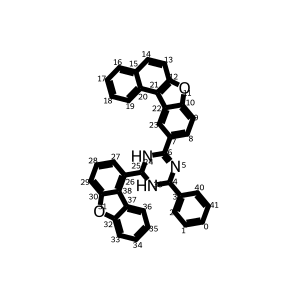 c1ccc(C2N=C(c3ccc4oc5ccc6ccccc6c5c4c3)NC(c3cccc4oc5ccccc5c34)N2)cc1